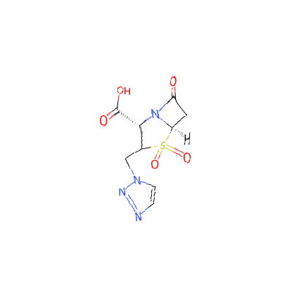 O=C(O)[C@H]1C(Cn2ccnn2)S(=O)(=O)[C@@H]2CC(=O)N21